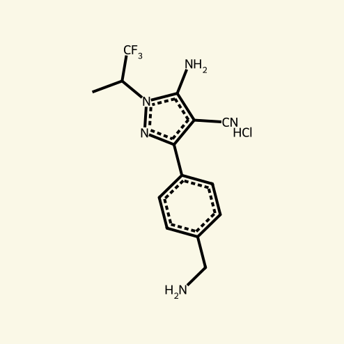 CC(n1nc(-c2ccc(CN)cc2)c(C#N)c1N)C(F)(F)F.Cl